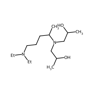 CCN(CC)CCCC(C)N(CC(C)O)CC(C)O